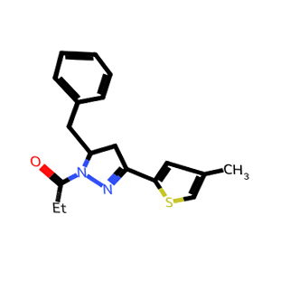 CCC(=O)N1N=C(c2cc(C)cs2)CC1Cc1ccccc1